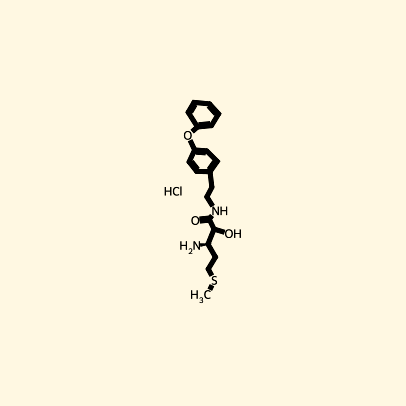 CSCC[C@@H](N)C(O)C(=O)NCCc1ccc(Oc2ccccc2)cc1.Cl